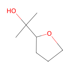 CC(C)(O)C1CCCO1